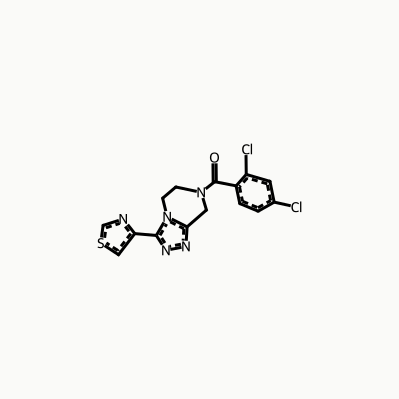 O=C(c1ccc(Cl)cc1Cl)N1CCn2c(nnc2-c2cscn2)C1